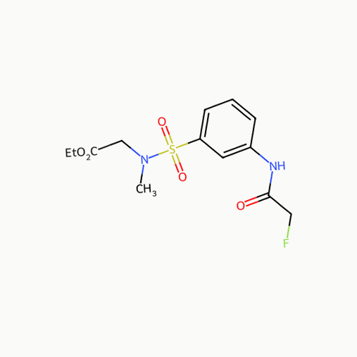 CCOC(=O)CN(C)S(=O)(=O)c1cccc(NC(=O)CF)c1